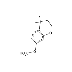 CC1(C)CCOc2cc(SC(=O)O)ccc21